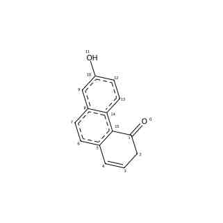 O=C1CC=Cc2ccc3cc(O)ccc3c21